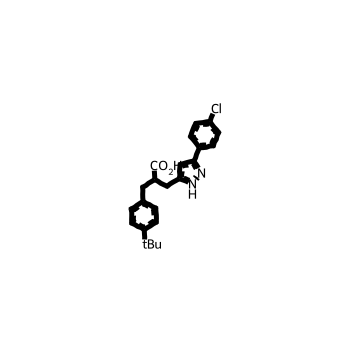 CC(C)(C)c1ccc(CC(Cc2cc(-c3ccc(Cl)cc3)n[nH]2)C(=O)O)cc1